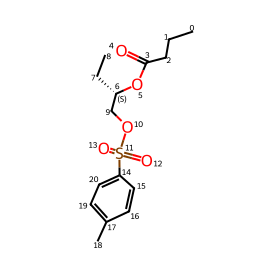 CCCC(=O)O[C@@H](CC)COS(=O)(=O)c1ccc(C)cc1